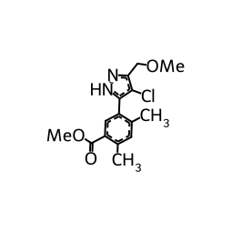 COCc1n[nH]c(-c2cc(C(=O)OC)c(C)cc2C)c1Cl